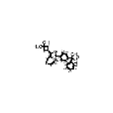 CC1(O)CC(C2=C3C=NC=C[N+]3(N)C(c3ccc(C(C)(O)c4ccccc4)cc3F)=N2)C1